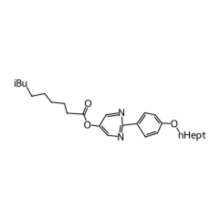 CCCCCCCOc1ccc(-c2ncc(OC(=O)CCCCCC(C)CC)cn2)cc1